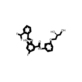 O=C(Nc1cccc(OC[C@@H](O)CO)c1)c1cc(F)cc2[nH]c(-c3ccccc3C(F)F)nc12